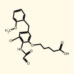 COc1ccccc1Cc1cc(Cl)c(NC(=O)C=O)c(OCCCCC(=O)O)c1